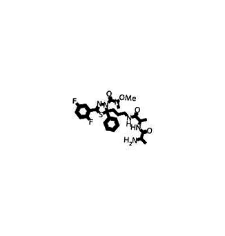 CON(C)C(=O)N1N=C(c2cc(F)ccc2F)SC1(CCCNC(=O)C(C)NC(=O)C(C)N)c1ccccc1